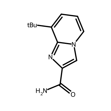 CC(C)(C)c1cccn2cc(C(N)=O)nc12